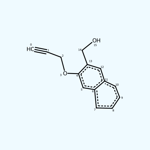 C#CCOc1cc2ccccc2cc1CO